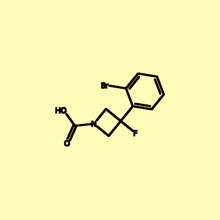 O=C(O)N1CC(F)(c2ccccc2Br)C1